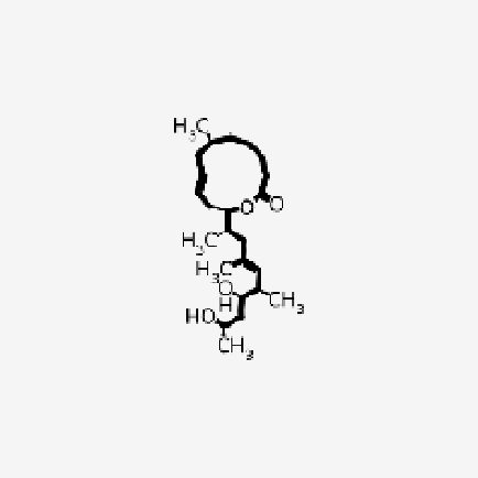 C/C(=C\[C@@H](C)[C@H](O)C[C@@H](C)O)C[C@H](C)[C@H]1C/C=C/C[C@@H](C)[CH]CCCC(=O)O1